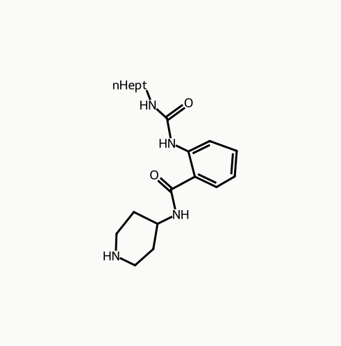 CCCCCCCNC(=O)Nc1ccccc1C(=O)NC1CCNCC1